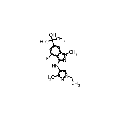 CCn1cc(Nc2nn(C)c3cc(C(C)(C)O)cc(F)c23)c(C)n1